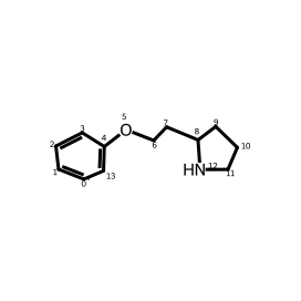 [c]1cccc(OCCC2CCCN2)c1